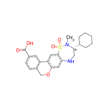 CN1[C@H](C2CCCCC2)CNc2cc3c(cc2S1(=O)=O)-c1cc(C(=O)O)ccc1CO3